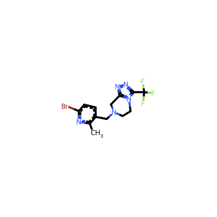 Cc1nc(Br)ccc1CN1CCn2c(nnc2C(F)(F)F)C1